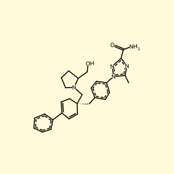 Cc1nc(C(N)=O)nn1-c1ccc(C[C@]2(CN3CCCC3CO)C=CC(c3ccccc3)=CC2)cc1